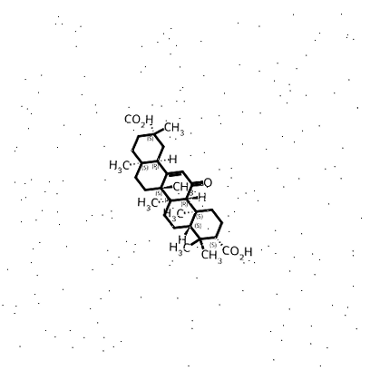 CC1(C)[C@@H](C(=O)O)CC[C@]2(C)[C@H]3C(=O)C=C4[C@@H]5C[C@@](C)(C(=O)O)CC[C@]5(C)CC[C@@]4(C)[C@]3(C)CC[C@@H]12